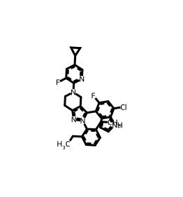 CCc1cccc(CC)c1-n1nc2c(c1-c1c(F)cc(Cl)c3[nH]ccc13)CN(c1ncc(C3CC3)cc1F)CC2